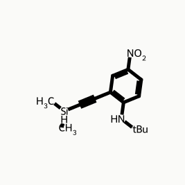 C[SiH](C)C#Cc1cc([N+](=O)[O-])ccc1NC(C)(C)C